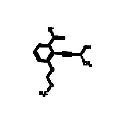 COCOc1cccc([N+](=O)[O-])c1C#C[C@@H](C)O